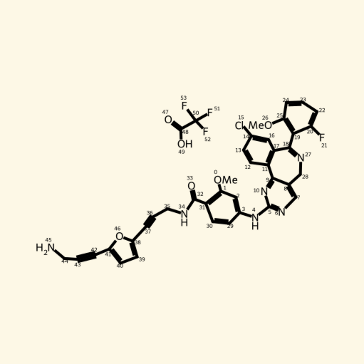 COc1cc(Nc2ncc3c(n2)-c2ccc(Cl)cc2C(c2c(F)cccc2OC)=NC3)ccc1C(=O)NCC#Cc1ccc(C#CCN)o1.O=C(O)C(F)(F)F